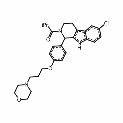 CC(C)C(=O)N1CCc2c([nH]c3ccc(Cl)cc23)C1c1ccc(OCCCN2CCOCC2)cc1